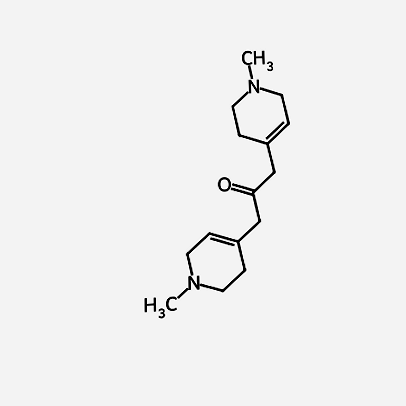 CN1CC=C(CC(=O)CC2=CCN(C)CC2)CC1